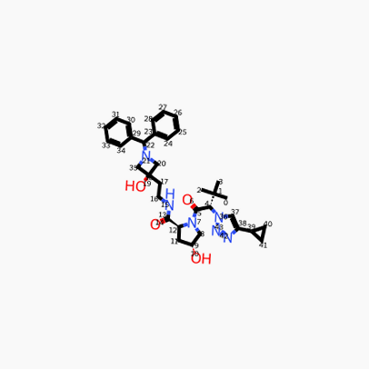 CC(C)(C)[C@@H](C(=O)N1C[C@H](O)C[C@H]1C(=O)NCCC1(O)CN(C(c2ccccc2)c2ccccc2)C1)n1cc(C2CC2)nn1